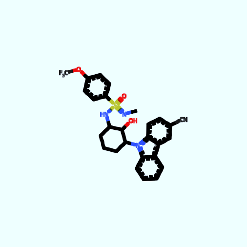 CN=S(=O)(NC1CCCC(n2c3ccccc3c3cc(C#N)ccc32)C1O)c1ccc(OC(F)(F)F)cc1